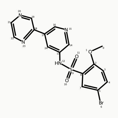 COc1ccc(Br)cc1S(=O)(=O)Nc1cncc(-c2cnccn2)c1